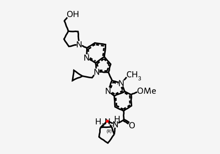 COc1cc(C(=O)N2CC3CCC2[C@@H]3N)cc2nc(-c3cc4ccc(N5CCC(CO)C5)nc4n3CC3CC3)n(C)c12